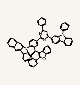 c1ccc(-c2nc(-c3ccc(-n4c5ccccc5c5cc6ccccc6cc54)c(-c4cc5ccccc5c5oc6ccccc6c45)c3)nc(-c3ccc4c5ccccc5n(-c5ccccc5)c4c3)n2)cc1